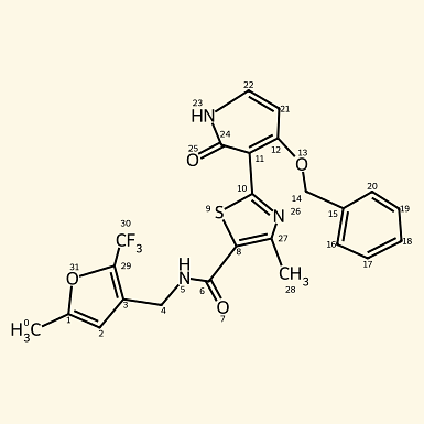 Cc1cc(CNC(=O)c2sc(-c3c(OCc4ccccc4)cc[nH]c3=O)nc2C)c(C(F)(F)F)o1